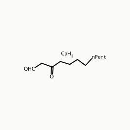 CCCCCCCCCC(=O)CC=O.[CaH2]